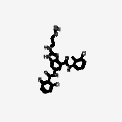 Cc1c(Cl)cccc1NC(=O)c1cc(NC(=O)c2c(F)cccc2Cl)cc2[nH]c(NCCOC(C)(C)C)nc12